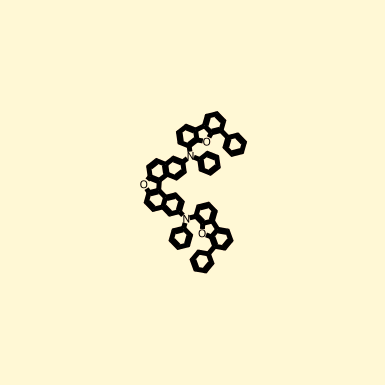 C1=CCC(c2cccc3c2oc2c(N(c4ccccc4)c4ccc5c(ccc6oc7ccc8cc(N(c9ccccc9)c9cccc%10c9oc9c(-c%11ccccc%11)cccc9%10)ccc8c7c65)c4)cccc23)C=C1